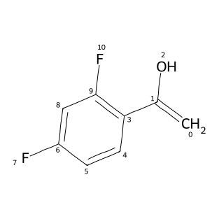 C=C(O)c1ccc(F)cc1F